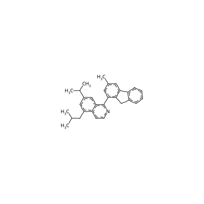 Cc1cc2c(c(-c3nccc4c(CC(C)C)cc(C(C)C)cc34)c1)Cc1ccccc1-2